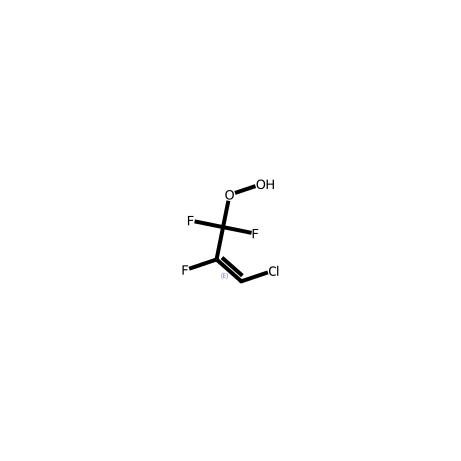 OOC(F)(F)/C(F)=C\Cl